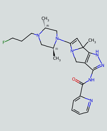 C[C@@H]1CN(C2=CC3(C)c4[nH]nc(NC(=O)c5ccccn5)c4CN23)[C@@H](C)CN1CCCF